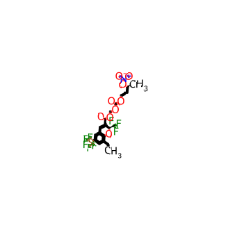 CCc1cc(S(F)(F)(F)(F)F)cc2c1O[C@H](C(F)(F)F)C(C(=O)OCOC(=O)OCC[C@H](C)O[N+](=O)[O-])=C2